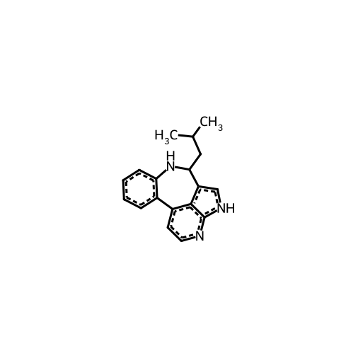 CC(C)CC1Nc2ccccc2-c2ccnc3[nH]cc1c23